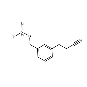 N#CCCc1cccc(CO[SiH](Br)Br)c1